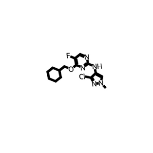 Cn1cc(Nc2ncc(F)c(OCC3CCCCC3)n2)c(Cl)n1